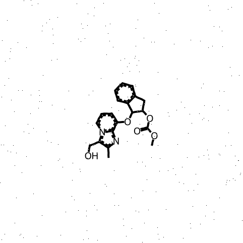 COC(=O)OC1Cc2ccccc2C1Oc1cccn2c(CO)c(C)nc12